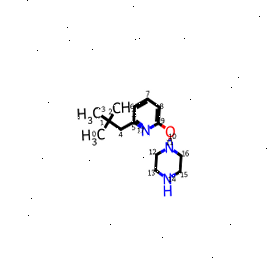 CC(C)(C)Cc1cccc(ON2CCNCC2)n1